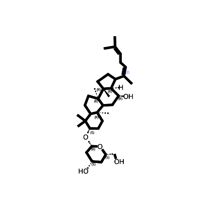 CC(C)=CC/C=C(/C)C1CC[C@]2(C)[C@@H]1[C@H](O)CC1[C@@]3(C)CC[C@H](O[C@H]4C[C@@H](O)C[C@@H](CO)O4)C(C)(C)C3CC[C@]12C